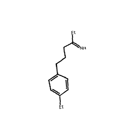 CCC(=N)CCCc1ccc(CC)cc1